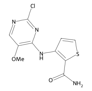 COc1cnc(Cl)nc1Nc1ccsc1C(N)=O